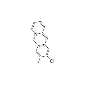 Cc1cc2c(cc1Cl)N=C1C=CC=CN1C2